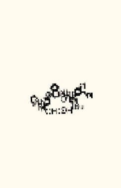 CC1CCCCN1c1nnc2ccc(O[C@@H]3CC[C@H](NC(=O)Nc4cc(C(C)(C)C)nn4-c4ccc(Cl)c(CCN(C)C)c4)c4ccccc43)cn12.O=CO